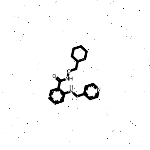 O=C(NOCC1CCCCC1)c1ccccc1NCc1ccncc1